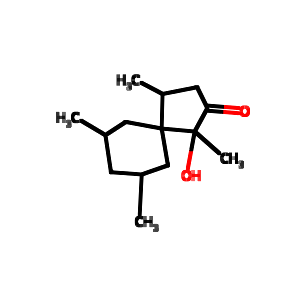 CC1CC(C)CC2(C1)C(C)CC(=O)C2(C)O